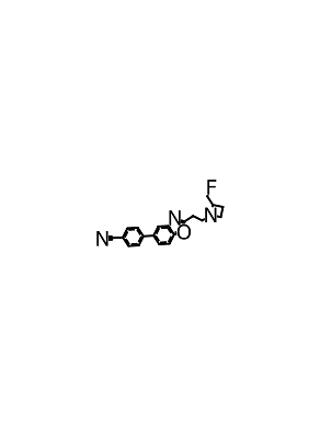 N#Cc1ccc(-c2ccc3oc(CCN4CCC4CF)nc3c2)cc1